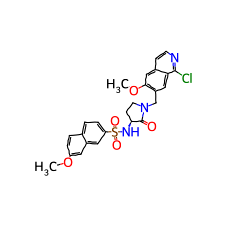 COc1ccc2ccc(S(=O)(=O)N[C@H]3CCN(Cc4cc5c(Cl)nccc5cc4OC)C3=O)cc2c1